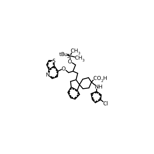 CC(C)(C)[Si](C)(C)OCC(COc1ccnc2ccsc12)CC1Cc2ccccc2C12CCC(Nc1cccc(Cl)c1)(C(=O)O)CC2